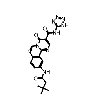 CC(C)(C)CC(=O)Nc1ccc2ncn3c(=O)c(C(=O)Nc4nnn[nH]4)cnc3c2c1